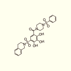 O=C(c1cc(S(=O)(=O)N2CCc3ccccc3C2)c(O)c(O)c1O)N1CCN(S(=O)(=O)c2ccccc2)CC1